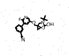 CC(C)(C)N(CC1(COc2cnc(F)c(-c3cccc(C#N)c3)c2)CC1)C(=O)O